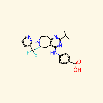 CC(C)c1nc2c(c(Nc3ccc(C(=O)O)cc3)n1)CCN(c1ncccc1C(F)(F)F)CC2